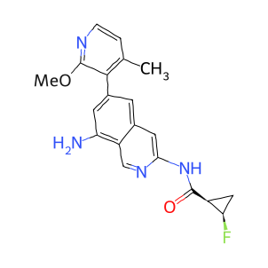 COc1nccc(C)c1-c1cc(N)c2cnc(NC(=O)[C@H]3C[C@H]3F)cc2c1